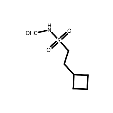 O=[C]NS(=O)(=O)CCC1CCC1